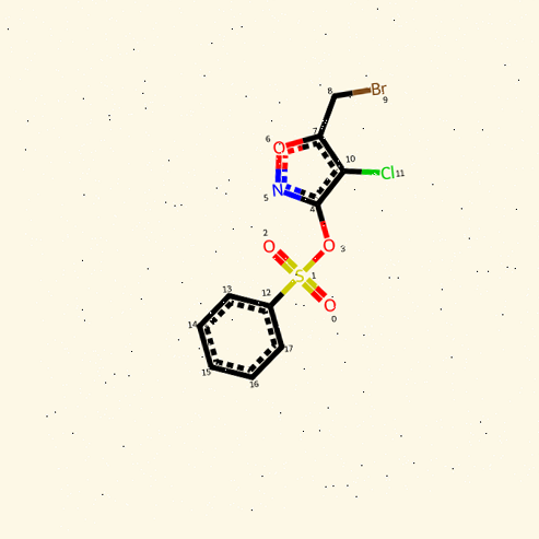 O=S(=O)(Oc1noc(CBr)c1Cl)c1ccccc1